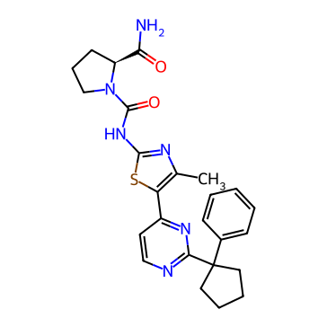 Cc1nc(NC(=O)N2CCC[C@H]2C(N)=O)sc1-c1ccnc(C2(c3ccccc3)CCCC2)n1